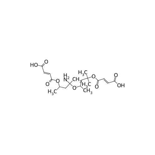 CC(CC(C)(N)OC(C)CC(C)(C)OC(=O)C=CC(=O)O)OC(=O)C=CC(=O)O